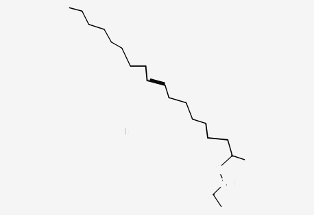 CCCCCCCCC=CCCCCCCC(C)SNCC.Cl